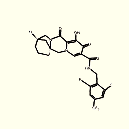 Cc1cc(F)c(CNC(=O)c2cn3c(c(O)c2=O)C(=O)N2C[C@H]4CCC[C@@]2(C4)C3)c(F)c1